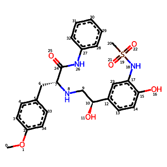 COc1ccc(C[C@@H](NC[C@H](O)c2ccc(O)c(NS(C)(=O)=O)c2)C(=O)Nc2ccccc2)cc1